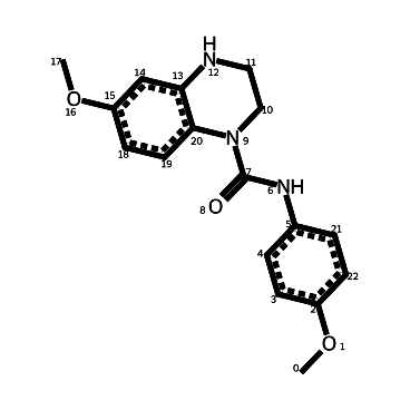 COc1ccc(NC(=O)N2CCNc3cc(OC)ccc32)cc1